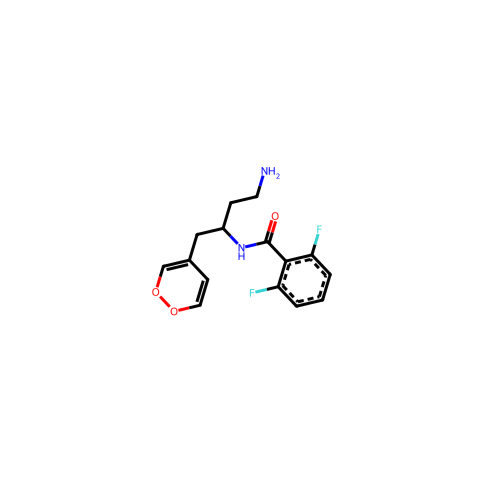 NCCC(CC1=COOC=C1)NC(=O)c1c(F)cccc1F